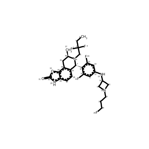 CCC(F)(F)CN1[C@H](c2c(F)cc(NC3CN(CCCF)C3)cc2F)c2ccc3[nH]c(=O)oc3c2C[C@H]1C